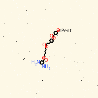 CCCCCOc1ccc(C(=O)Oc2ccc(C=CC(=O)OCCCCCCOC(=O)c3cc(N)cc(N)c3)cc2)cc1